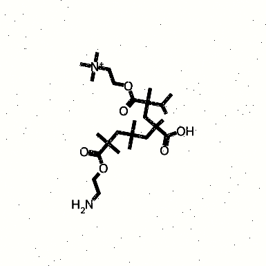 CC(C)C(C)(CC(C)(CC(C)(C)CC(C)(C)C(=O)OCCN)C(=O)O)C(=O)OCC[N+](C)(C)C